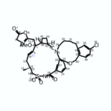 CO[C@@]1(CC2=NCC(=O)O2)/C=C/C[C@H](C)[C@@H](C)S(=O)(=O)NC(=O)c2ccc3c(c2)N(CCCCc2cc(Cl)ccc2CO3)C[C@@H]2CC[C@H]21